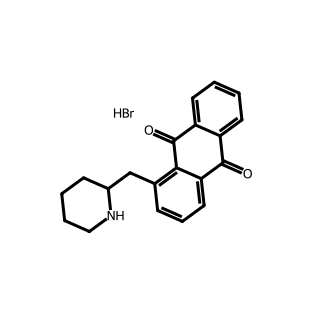 Br.O=C1c2ccccc2C(=O)c2c(CC3CCCCN3)cccc21